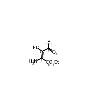 CCOC(=O)C(N)=C(CC)C(=O)CC